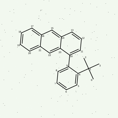 CC(C)(C)c1ccccc1-c1cccc2cc3ccccc3cc12